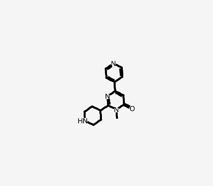 Cn1c(C2CCNCC2)nc(-c2ccncc2)cc1=O